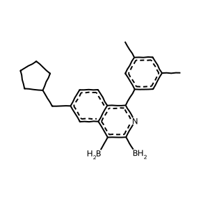 Bc1nc(-c2cc(C)cc(C)c2)c2ccc(CC3CCCC3)cc2c1B